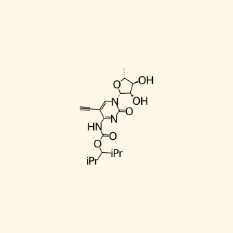 C#Cc1cn([C@@H]2O[C@H](C)[C@@H](O)[C@H]2O)c(=O)nc1NC(=O)OC(C(C)C)C(C)C